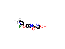 Cc1ccc(OC2CC3CN(CC(=O)c4ccc(O)cn4)CC3C2)c(F)n1